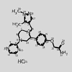 Cc1c(CN2CCN(c3cnccn3)CC2c2ccc(OCC(N)=O)cc2)cnn1C.Cl